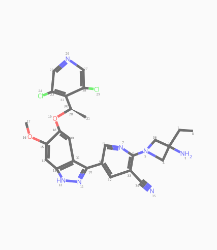 CCC1(N)CN(c2ncc(-c3n[nH]c4cc(OC)c(O[C@H](C)c5c(Cl)cncc5Cl)cc34)cc2C#N)C1